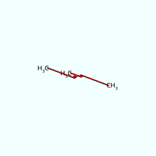 CCCCCCCCCCCCCCCCCCCCCCCCCCCCCc1ccc(C=CC(CCCCCCCC)Cc2ccc(CCCCCCCCCCCCCCCCCCCCCCCCCCCCC)cc2)cc1